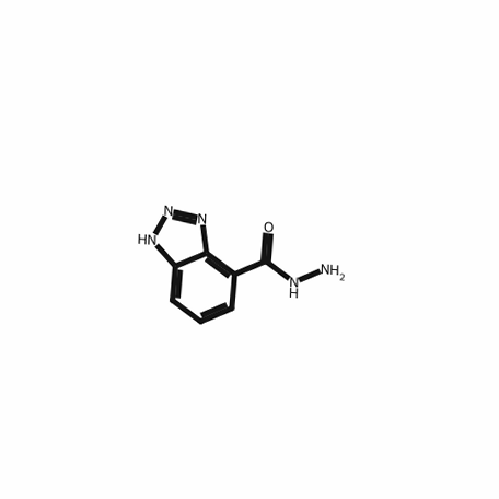 NNC(=O)c1cccc2[nH]nnc12